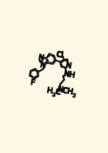 CN(C)CCCNc1cc(-c2ccc3ncn(Cc4cccc(F)c4)c3c2)c(Cl)cn1